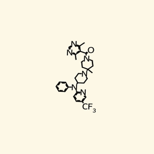 Cc1ncnc(C)c1C(=O)N1CCC(C)(N2CCC(N(c3ccccc3)c3ccc(C(F)(F)F)cn3)CC2)CC1